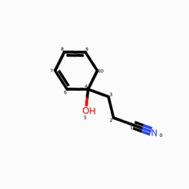 N#CCCC1(O)C=CC=CC1